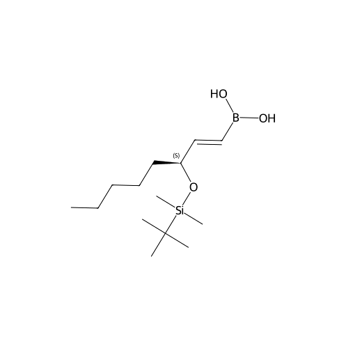 CCCCC[C@@H](C=CB(O)O)O[Si](C)(C)C(C)(C)C